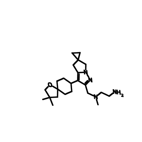 CN(CCN)Cc1nn2c(c1C1CCC3(CC1)CC(C)(C)CO3)CC1(CC1)C2